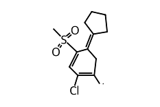 [CH2]C1=C(Cl)C=C(S(C)(=O)=O)C(=C2CCCC2)C1